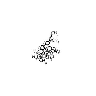 CCCCN(C)c1ccc(-c2cnc(C)c(C(OC(C)(C)C)C(=O)OC(C)C)c2N2CCC(C)(C)CC2)nc1